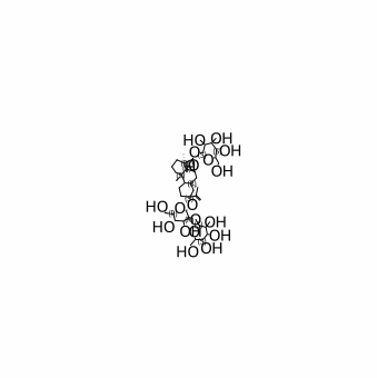 C=C1C[C@@]23CC[C@@H]4[C@](C)(C(=O)O[C@@H]5OC(CO)[C@@H](O)C(O)C5O)CCC[C@@]4(C)C2CC[C@]1(OC1O[C@H](CO)C(O)C(O)[C@H]1O[C@@H]1OC(CO)[C@@H](O)C(O)C1O)C3